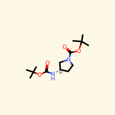 CC(C)(C)OC(=O)N[C@H]1CCN(C(=O)OC(C)(C)C)C1